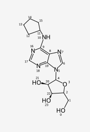 OCC1OC(n2cnc3c(NC4CCCC4)ncnc32)[C@H](O)[C@@H]1O